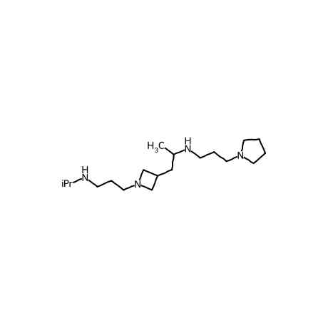 CC(C)NCCCN1CC(CC(C)NCCCN2CCCC2)C1